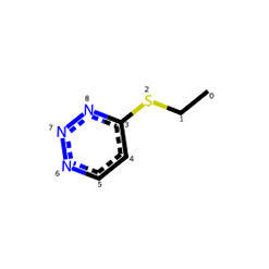 CCSc1ccnnn1